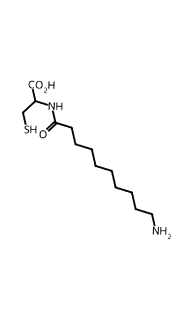 NCCCCCCCCCC(=O)NC(CS)C(=O)O